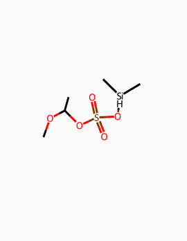 COC(C)OS(=O)(=O)O[SiH](C)C